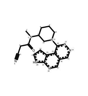 CN(C(=O)CC#N)C1CCCN(c2nncc3cnc4[nH]ccc4c23)C1